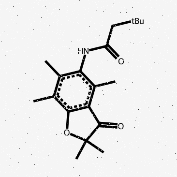 Cc1c(C)c2c(c(C)c1NC(=O)CC(C)(C)C)C(=O)C(C)(C)O2